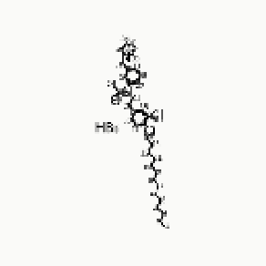 Br.CCCCCCCCCCCCCCOc1ccc(CCN(C(C)=O)c2cccc(CN3C=CSC3)c2)cc1Cl